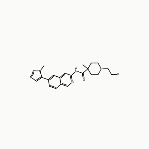 Cn1cncc1-c1ccc2cnc(NC(=O)C3(C)CCN(CCF)CC3)cc2c1